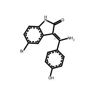 N/C(=C1\C(=O)Nc2ccc(Br)cc21)c1ccc(O)cc1